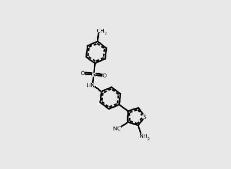 Cc1ccc(S(=O)(=O)Nc2ccc(-c3csc(N)c3C#N)cc2)cc1